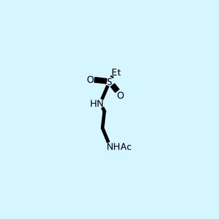 CCS(=O)(=O)NCCNC(C)=O